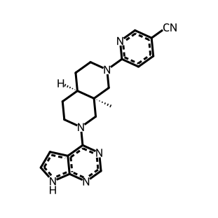 C[C@@]12CN(c3ccc(C#N)cn3)CC[C@@H]1CCN(c1ncnc3[nH]ccc13)C2